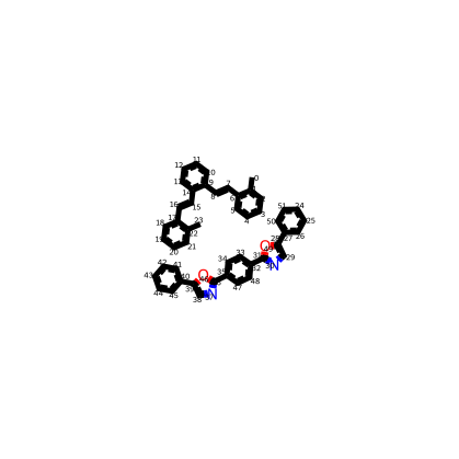 Cc1ccccc1C=Cc1ccccc1C=Cc1ccccc1C.c1ccc(-c2cnc(-c3ccc(-c4ncc(-c5ccccc5)o4)cc3)o2)cc1